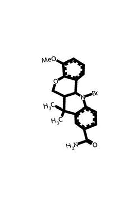 COc1cccc2c1OCC1C2N(Br)c2ccc(C(N)=O)cc2C1(C)C